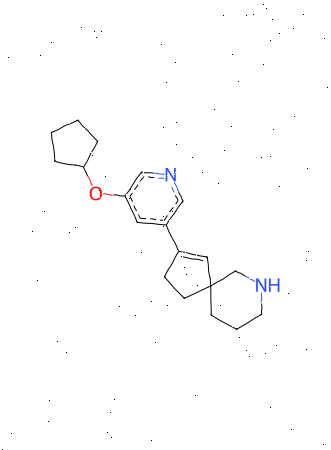 C1=C(c2cncc(OC3CCCC3)c2)CCC12CCCNC2